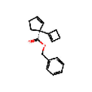 O=C(OCc1ccccc1)[C@@]1(C2=CCC2)C=CCC1